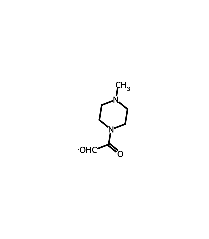 CN1CCN(C(=O)[C]=O)CC1